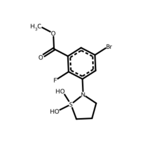 COC(=O)c1cc(Br)cc(N2CCCS2(O)O)c1F